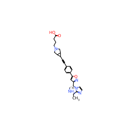 CCc1nccn1[C@H](CN)c1cc(-c2ccc(C#CC3C4CN(CCCC(=O)O)CC34)cc2)on1